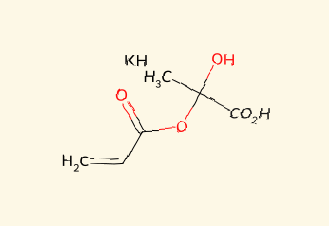 C=CC(=O)OC(C)(O)C(=O)O.[KH]